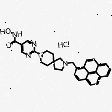 Cl.O=C(NO)c1cnc(N2CCC3(CCN(Cc4ccc5ccc6cccc7ccc4c5c67)C3)CC2)nc1